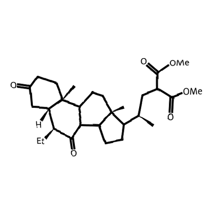 CC[C@@H]1C(=O)C2C3CCC([C@H](C)CC(C(=O)OC)C(=O)OC)[C@@]3(C)CCC2[C@@]2(C)CCC(=O)C[C@@H]12